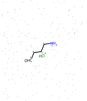 Cl.NCCCC=O